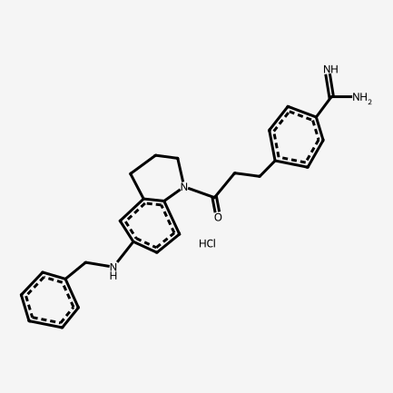 Cl.N=C(N)c1ccc(CCC(=O)N2CCCc3cc(NCc4ccccc4)ccc32)cc1